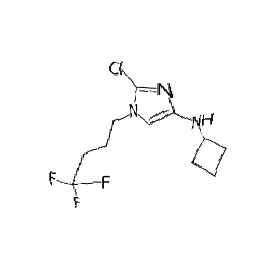 FC(F)(F)CCCn1cc(NC2CCC2)nc1Cl